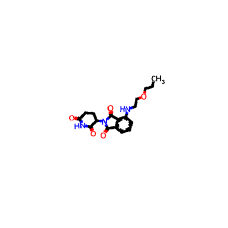 CCCOCCNc1cccc2c1C(=O)N(C1CCC(=O)NC1=O)C2=O